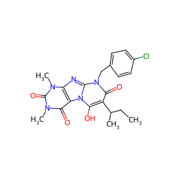 CCC(C)c1c(O)n2c3c(=O)n(C)c(=O)n(C)c3nc2n(Cc2ccc(Cl)cc2)c1=O